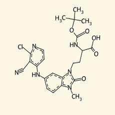 Cn1c(=O)n(CCC(NC(=O)OC(C)(C)C)C(=O)O)c2cc(Nc3ccnc(Cl)c3C#N)ccc21